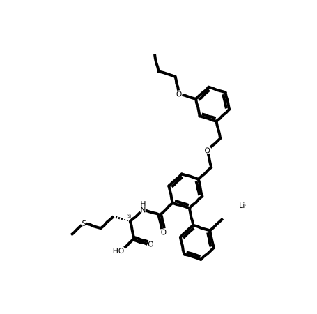 CCCOc1cccc(COCc2ccc(C(=O)N[C@@H](CCSC)C(=O)O)c(-c3ccccc3C)c2)c1.[Li]